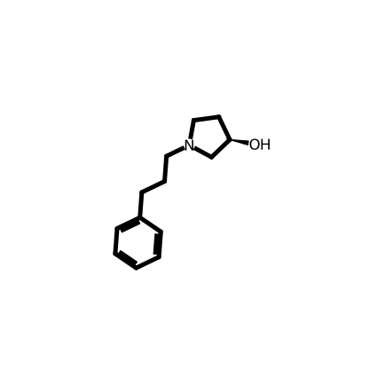 O[C@@H]1CCN(CCCc2ccccc2)C1